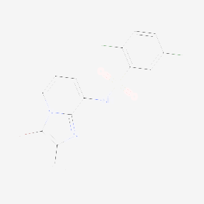 Cc1nc2c(NS(=O)(=O)c3cc(Cl)ccc3Cl)cccn2c1Br